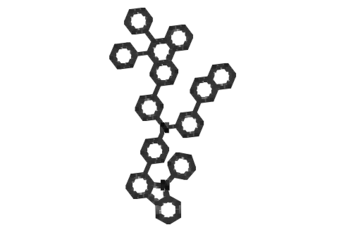 c1ccc(-c2c(-c3ccccc3)c3cc(-c4cccc(N(c5ccc(-c6cccc7c8ccccc8n(-c8ccccc8)c67)cc5)c5cccc(-c6ccc7ccccc7c6)c5)c4)ccc3c3ccccc23)cc1